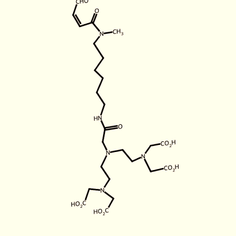 CN(CCCCCCNC(=O)CN(CCN(CC(=O)O)CC(=O)O)CCN(CC(=O)O)CC(=O)O)C(=O)/C=C\C=O